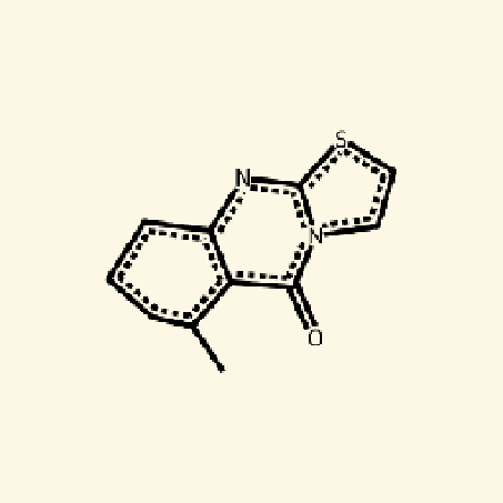 Cc1cccc2nc3sccn3c(=O)c12